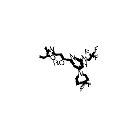 CCc1oc(CC(O)c2cc(N3CCC(F)(F)CC3)cc(NCC(F)(F)F)n2)nc1C